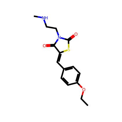 CCOc1ccc(/C=C2\SC(=O)N(CCNC)C2=O)cc1